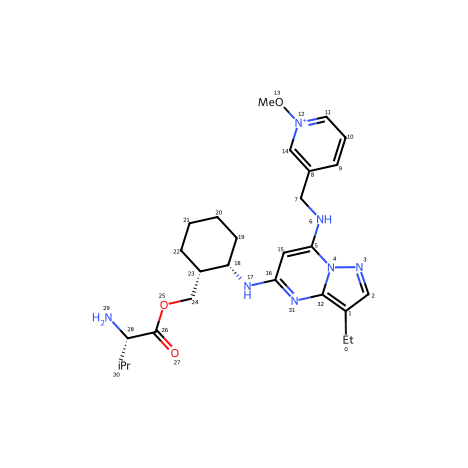 CCc1cnn2c(NCc3ccc[n+](OC)c3)cc(N[C@H]3CCCC[C@H]3COC(=O)[C@@H](N)C(C)C)nc12